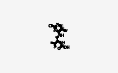 CC(C)[C@@H](CNc1nc(Cl)ncc1Br)NC(=O)O